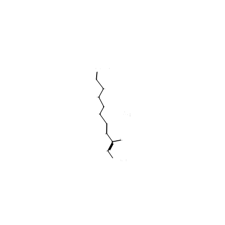 CCCCCCCCC=C(Cl)CCCCCCCC(=O)[O-].[Ag+]